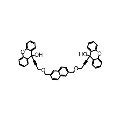 OC1(C#CCOCc2ccc3cc(COCC#CC4(O)c5ccccc5Oc5ccccc54)ccc3c2)c2ccccc2Oc2ccccc21